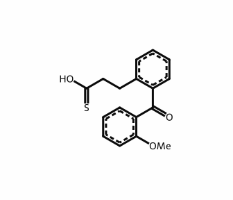 COc1ccccc1C(=O)c1ccccc1CCC(O)=S